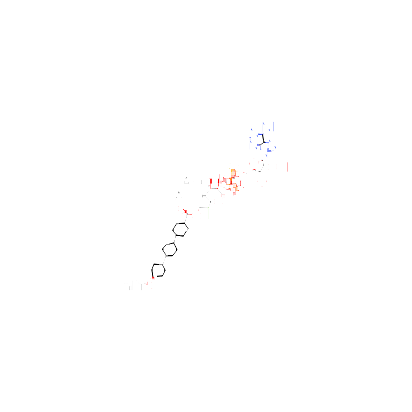 CCCOc1ccc(-c2ccc(-c3ccc(C(=O)OC[C@H](F)[C@H]4O[C@@H](OP(=O)(O)OP(O)(=S)OC[C@H]5O[C@@H](n6cnc7c(N)ncnc76)[C@H](O)[C@@H]5O)[C@@H](OC(C)=O)[C@@H](OC(C)=O)[C@@H]4OC(C)=O)cc3)cc2)cc1